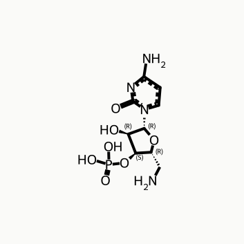 NC[C@H]1O[C@@H](n2ccc(N)nc2=O)[C@H](O)[C@@H]1OP(=O)(O)O